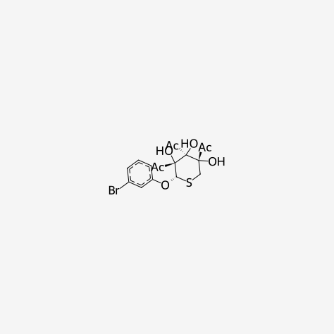 CC(=O)[C@]1(O)[C@@](O)(C(C)=O)CS[C@H](Oc2cccc(Br)c2)[C@@]1(O)C(C)=O